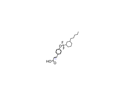 CCCCCC1CCCC(C(F)(F)Oc2ccc(/C=C/C(=O)O)cc2)C1